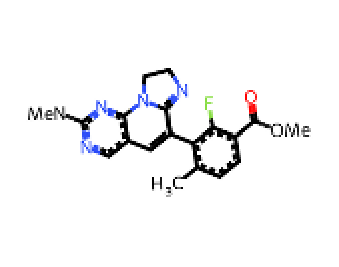 CNc1ncc2c(n1)N1CCN=C1C(c1c(C)ccc(C(=O)OC)c1F)=C2